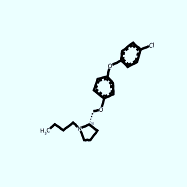 CCCCN1CCC[C@H]1COc1ccc(Oc2ccc(Cl)cc2)cc1